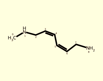 CNC/C=C\C=C/CN